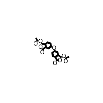 CC(=O)OC1OC(=O)c2cc(Oc3ccc4c(c3)C(OC(C)=O)OC4=O)ccc21